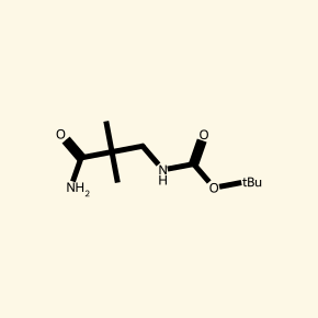 CC(C)(C)OC(=O)NCC(C)(C)C(N)=O